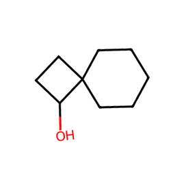 OC1CCC12CCCCC2